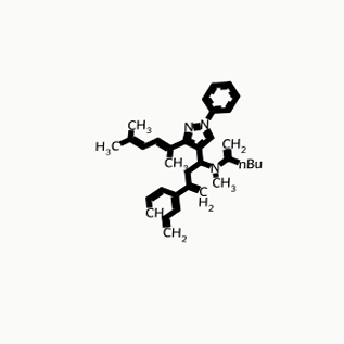 C=C/C=C(\C=C/C)C(=C)CC(c1cn(-c2ccccc2)nc1/C(C)=C/C=C(C)C)N(C)C(=C)CCCC